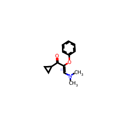 CN(C)/C=C(\Oc1ccccc1)C(=O)C1CC1